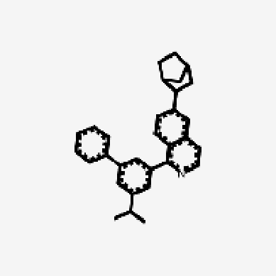 CC(C)c1cc(-c2ccccc2)cc(-c2nccc3cc(C4CC5CCC4C5)ccc23)c1